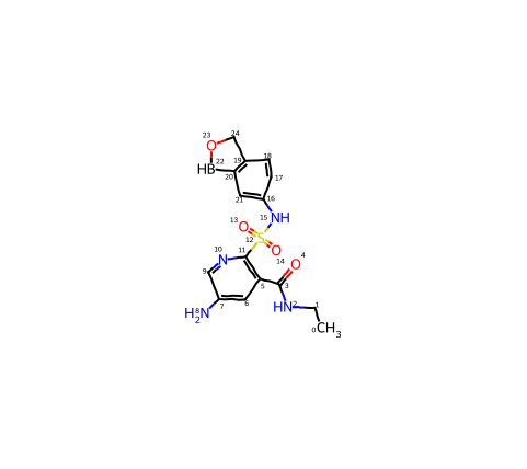 CCNC(=O)c1cc(N)cnc1S(=O)(=O)Nc1ccc2c(c1)BOC2